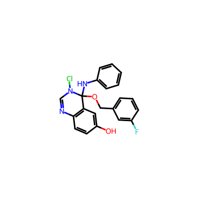 Oc1ccc2c(c1)C(Nc1ccccc1)(OCc1cccc(F)c1)N(Cl)C=N2